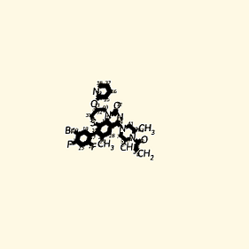 C=CC(=O)N1[C@H](C)CN(c2nc(=O)n3c4c(c(-c5cc(Br)c(F)cc5F)c(C)cc24)SC[C@@H](Oc2ccccn2)C3)C[C@@H]1C